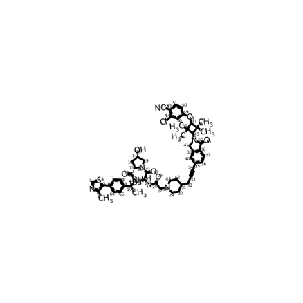 Cc1ncsc1-c1ccc([C@H](C)NC(=O)[C@@H]2C[C@@H](O)CN2C(=O)C(NC(=O)CN2CCC(CC#Cc3ccc4c(c3)CN(C3C(C)(C)C(Oc5ccc(C#N)c(Cl)c5)C3(C)C)C4=O)CC2)C(C)(C)C)cc1